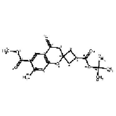 COC(=O)c1cc2c(cc1C)OC1(CC2=O)CN(C(=O)OC(C)(C)C)C1